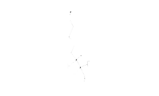 FCC(F)(F)C(F)(F)COCCOF